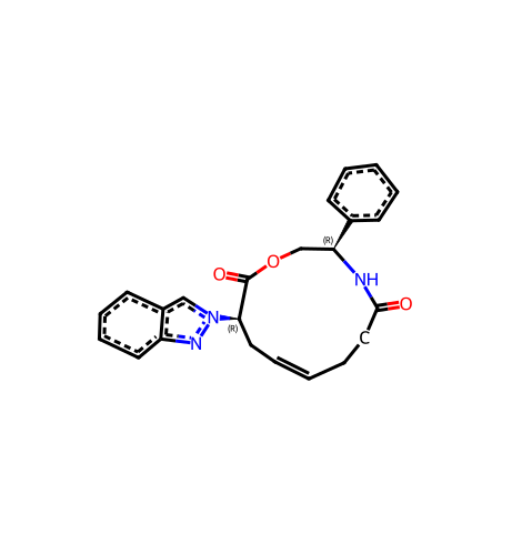 O=C1CCC=CC[C@@H](n2cc3ccccc3n2)C(=O)OC[C@@H](c2ccccc2)N1